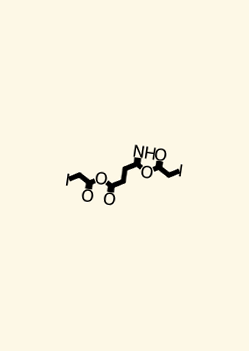 N=C(CCC(=O)OC(=O)CI)OC(=O)CI